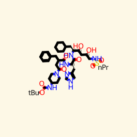 CCCS(=O)(=O)NC[C@@H](O)C[C@H](O)[C@H](CC1CCCCC1)NC(=O)[C@H](Cc1c[nH]cn1)NC(=O)C(CC(=O)N1CCC(NC(=O)OC(C)(C)C)CC1)Cc1ccccc1